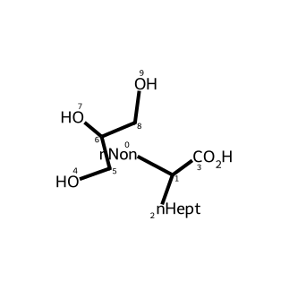 CCCCCCCCCC(CCCCCCC)C(=O)O.OCC(O)CO